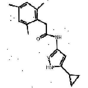 Cc1cc(C)c(CC(=O)Nc2cc(C3CC3)[nH]n2)c(C)c1